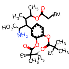 CCC(C)CC(=O)OC(C)C(C)C(c1ccc(OC(=O)C(C)(C)CC)c(OC(=O)C(C)(C)CC)c1)[C@H](N)C(=O)O